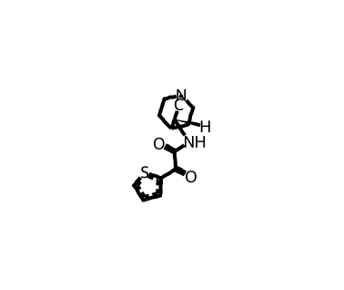 O=C(N[C@H]1CN2CCC1CC2)C(=O)c1cccs1